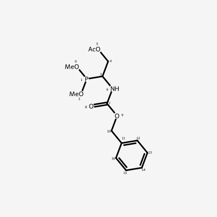 COP(OC)C(COC(C)=O)NC(=O)OCc1ccccc1